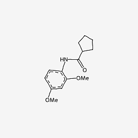 COc1ccc(NC(=O)C2CCCC2)c(OC)c1